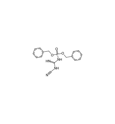 N#CNC(=N)NP(=O)(OCc1ccccc1)OCc1ccccc1